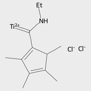 CCN[C](=[Ti+2])C1=C(C)C(C)=C(C)C1C.[Cl-].[Cl-]